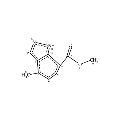 COC(=O)c1ccc(C)c2cn[nH]c12